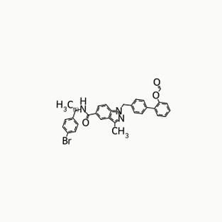 Cc1nn(Cc2ccc(-c3ccccc3OC=O)cc2)c2ccc(C(=O)N[C@@H](C)c3ccc(Br)cc3)cc12